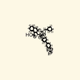 O=C(O)c1c(CN(C(=O)OCc2ccccc2)S(=O)(=O)c2ccc(-c3ccc(OC(F)(F)F)cc3)cc2)ccc2ccccc12